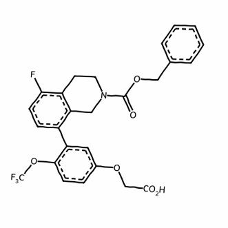 O=C(O)COc1ccc(OC(F)(F)F)c(-c2ccc(F)c3c2CN(C(=O)OCc2ccccc2)CC3)c1